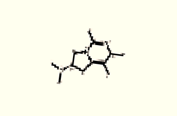 CC1=N[C@@H](C)C(C)=C2C[C@@H](N(C)C)CN12